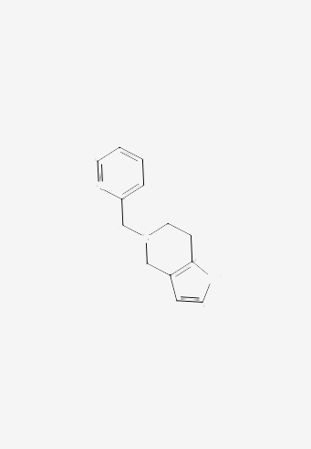 c1ccc(CN2CCc3sccc3C2)nc1